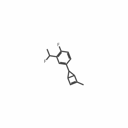 CC1=CC2C1C2c1ccc(F)c(C(C)F)c1